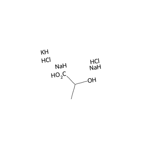 CC(O)C(=O)O.Cl.Cl.[KH].[NaH].[NaH]